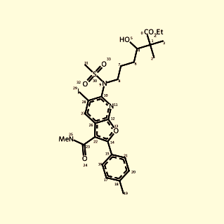 CCOC(=O)C(C)(C)C(O)CCCN(c1nc2oc(-c3ccc(C)cc3)c(C(=O)NC)c2cc1I)S(C)(=O)=O